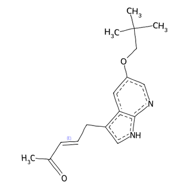 CC(=O)/C=C/Cc1c[nH]c2ncc(OCC(C)(C)C)cc12